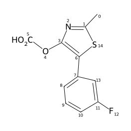 Cc1nc(OC(=O)O)c(-c2cccc(F)c2)s1